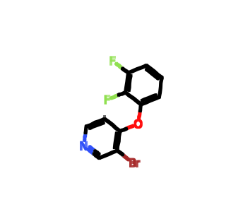 Fc1cccc(Oc2[c]cncc2Br)c1F